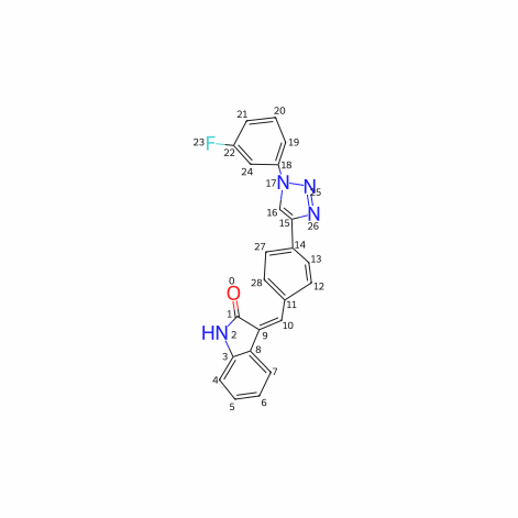 O=C1Nc2ccccc2C1=Cc1ccc(-c2cn(-c3cccc(F)c3)nn2)cc1